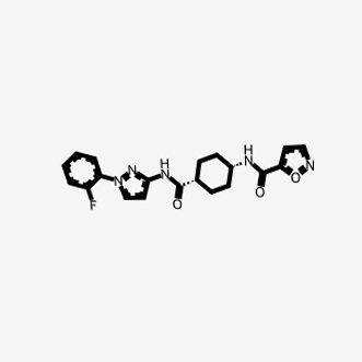 O=C(N[C@H]1CC[C@@H](C(=O)Nc2ccn(-c3ccccc3F)n2)CC1)c1ccno1